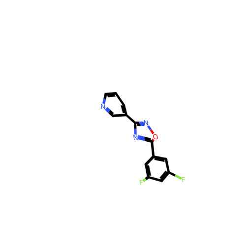 Fc1cc(F)cc(-c2nc(-c3cccnc3)no2)c1